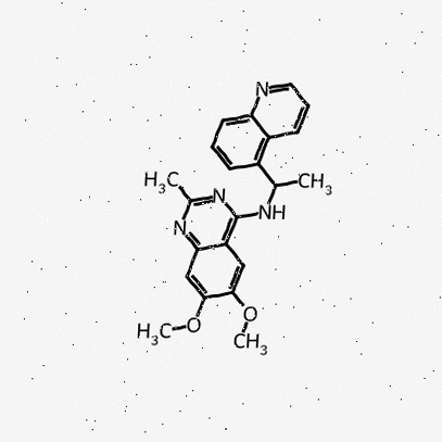 COc1cc2nc(C)nc(NC(C)c3cccc4ncccc34)c2cc1OC